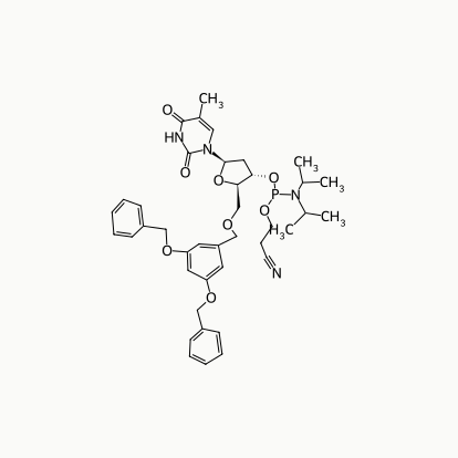 Cc1cn([C@H]2C[C@H](OP(OCCC#N)N(C(C)C)C(C)C)[C@@H](COCc3cc(OCc4ccccc4)cc(OCc4ccccc4)c3)O2)c(=O)[nH]c1=O